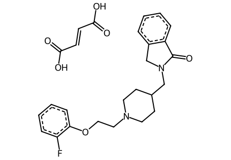 O=C(O)C=CC(=O)O.O=C1c2ccccc2CN1CC1CCN(CCOc2ccccc2F)CC1